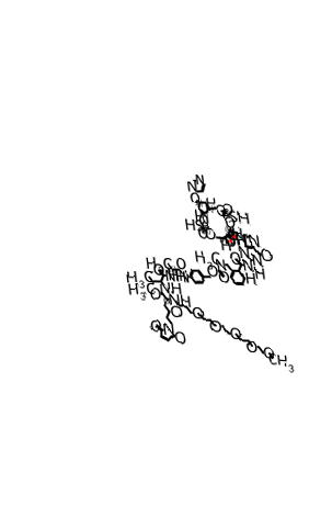 COCCOCCOCCOCCOCCC(=O)N[C@@H](CCCCN1C(=O)C=CC1=O)C(=O)NC(C(=O)N[C@@H](C)C(=O)Nc1ccc(COC(=O)N(C)Cc2ccccc2C(=O)Nc2nc3c(ncn3[C@@H]3O[C@@H]4CO[P@@](=O)(S)O[C@H]5C[C@H](Oc6ccncn6)C[C@@H]5CO[P@@](=O)(S)O[C@@H]3[C@@H]4O)c(=O)[nH]2)cc1)C(C)C